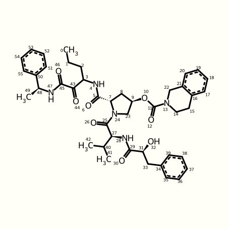 CCCC(NC(=O)[C@@H]1C[C@@H](OC(=O)N2CCc3ccccc3C2)CN1C(=O)[C@@H](NC(=O)[C@@H](O)Cc1ccccc1)C(C)C)C(=O)C(=O)N[C@@H](C)c1ccccc1